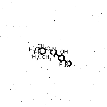 CC1(C)CC(Oc2cnc(-c3cc(F)c(-n4cccn4)cc3O)cn2)CC(C)(C)N1